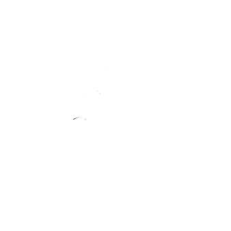 C=CCS[S+]([O-])CC=C.C[C@H](CS)C(=O)N1CCC[C@H]1C(=O)O